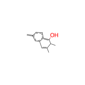 C=c1ccc2c(c1)C=C(C)C(C)C=2O